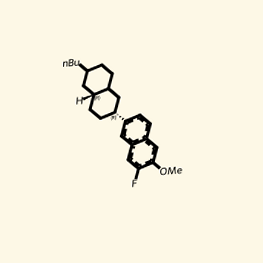 CCCCC1CCC2C[C@H](c3ccc4cc(OC)c(F)cc4c3)CC[C@@H]2C1